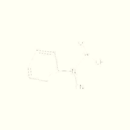 N#CN(C(=O)C(F)(F)F)c1ccccc1